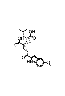 COc1ccc2[nH]c(C(=O)NC[C@H](N[C@@H](CC(C)C)C(=O)O)C(=O)O)cc2c1